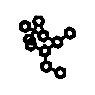 c1ccc(-c2cccc(-c3nc(-c4ccccc4)nc(-c4ccc(-c5ccccc5)cc4-c4ccc5c(c4)-c4ccccc4C5(c4ccccc4)c4ccccc4)n3)c2)cc1